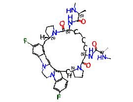 CN[C@@H](C)C(=O)N[C@H]1CCCC[C@H](NC(=O)[C@H](C)NC)C(=O)N2CCC[C@H]2Cc2c3n(c4cc(F)ccc24)CCn2c-3cc3c(cc(F)cc32)C[C@@H]2CCCN2C1=O